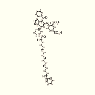 O=C1c2ccccc2-c2onc3c(N4CCC[C@@H](C(=O)NCCCOCCOCCOCCCNc5ncccn5)C4)cc(Nc4ccc(S(=O)(=O)O)cc4S(=O)(=O)O)c1c23